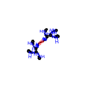 c1ccc2[nH]c(CNCc3cc(CNCc4cc5ccccc5[nH]4)cc(-c4cc(CNCc5cc6ccccc6[nH]5)cc(Cn5cc(COCCOCc6cn(Cc7cc(CNCc8cc9ccccc9[nH]8)cc(-c8cc(CNCc9cc%10ccccc%10[nH]9)cc(CNCc9cc%10ccccc%10[nH]9)c8)c7)nn6)nn5)c4)c3)cc2c1